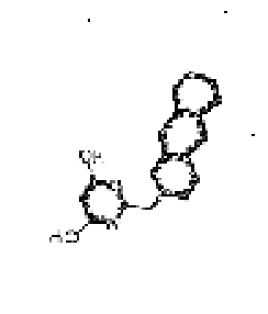 Oc1cc(O)nc(Cc2ccc3cc4ccccc4cc3c2)n1